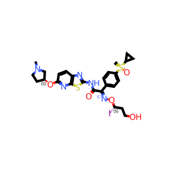 C=S(=O)(c1ccc(/C(=N\O[C@@H](I)CCO)C(=O)Nc2nc3ccc(O[C@H]4CCN(C)C4)nc3s2)cc1)C1CC1